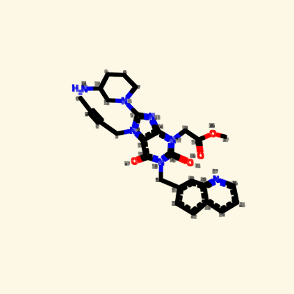 CC#CCn1c(N2CCCC(N)C2)nc2c1c(=O)n(Cc1ccc3cccnc3c1)c(=O)n2CC(=O)OC